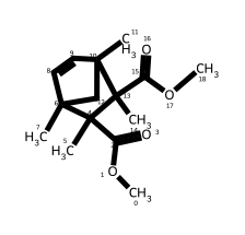 COC(=O)C1(C)C2(C)C=CC(C)(C2)C1(C)C(=O)OC